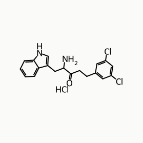 Cl.NC(Cc1c[nH]c2ccccc12)C(=O)CCc1cc(Cl)cc(Cl)c1